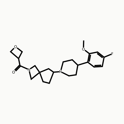 COc1cc(F)ccc1C1CCN(C2CCC3(C2)CN(C(=O)C2COC2)C3)CC1